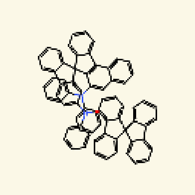 c1ccc(N(c2ccc3c(c2)C2(c4ccccc4-3)c3ccccc3-c3c2c(N(c2ccccc2)c2ccccc2)cc2ccccc32)c2cccc3c2-c2ccccc2C32c3ccccc3-c3ccccc32)cc1